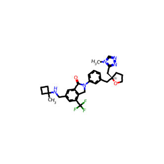 Cn1cnnc1C[C@@]1(Cc2cccc(N3Cc4c(cc(CNC5(C)CCC5)cc4C(F)(F)F)C3=O)c2)CCCO1